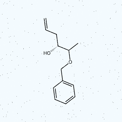 C=CC[C@@H](O)C(C)OCc1ccccc1